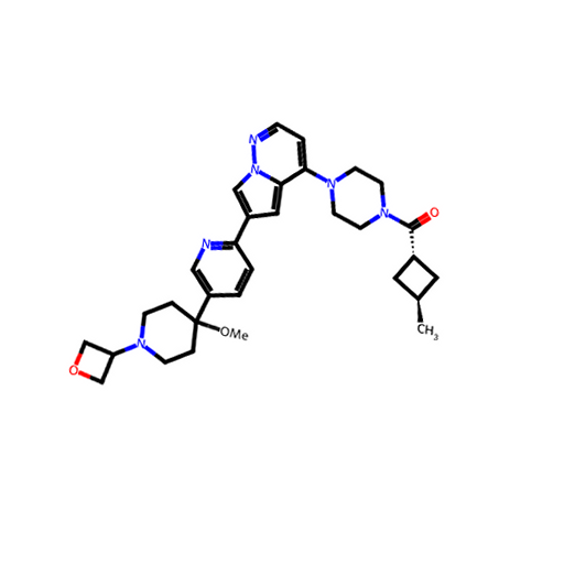 COC1(c2ccc(-c3cc4c(N5CCN(C(=O)[C@H]6C[C@H](C)C6)CC5)ccnn4c3)nc2)CCN(C2COC2)CC1